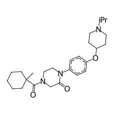 CC(C)N1CCC(Oc2ccc(N3CCN(C(=O)C4(C)CCCCC4)CC3=O)cc2)CC1